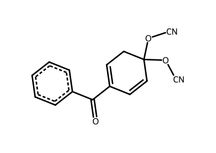 N#COC1(OC#N)C=CC(C(=O)c2ccccc2)=CC1